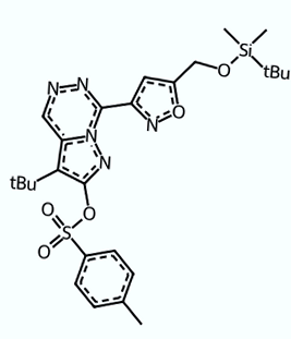 Cc1ccc(S(=O)(=O)Oc2nn3c(-c4cc(CO[Si](C)(C)C(C)(C)C)on4)nncc3c2C(C)(C)C)cc1